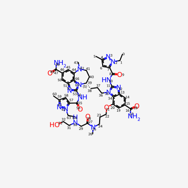 CCn1nc(C)cc1C(=O)Nc1nc2cc(C(N)=O)cc(OCCCN(C)C(=O)CNCCO)c2n1CCC[C@H]1CCN(C)c2cc(C(N)=O)cc3nc(NC(=O)c4cc(C)nn4CC)n1c23